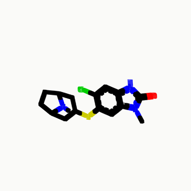 CN1C2CCC1CC(Sc1cc3c(cc1Cl)[nH]c(=O)n3C)C2